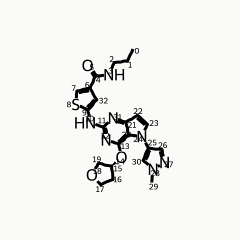 CCCNC(=O)c1csc(Nc2nc(O[C@H]3CCOC3)c3c(ccn3-c3cnn(C)c3)n2)c1